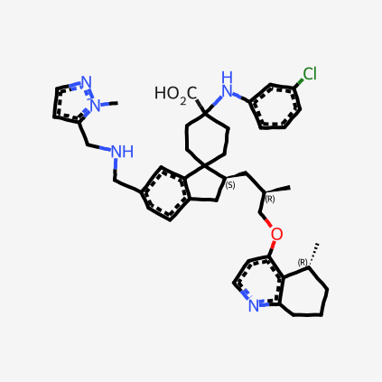 C[C@@H](COc1ccnc2c1[C@H](C)CCC2)C[C@H]1Cc2ccc(CNCc3ccnn3C)cc2C12CCC(Nc1cccc(Cl)c1)(C(=O)O)CC2